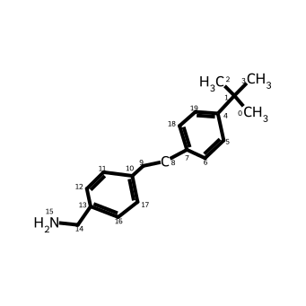 CC(C)(C)c1ccc(CCc2ccc(CN)cc2)cc1